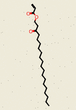 C=CC(=O)OCCC(=O)CCCCCCCCCCCCCCCCC